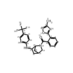 Cc1noc(-c2ccccc2C(=O)N2CC3CC(Nc4ccc(C(F)(F)F)cn4)C2C3)n1